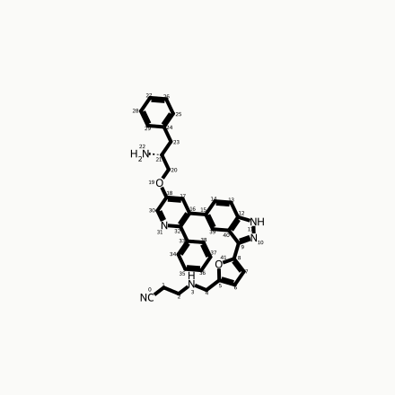 N#CCCNCc1ccc(-c2n[nH]c3ccc(-c4cc(OC[C@H](N)Cc5ccccc5)cnc4-c4ccccc4)cc23)o1